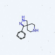 c1ccc(C2=NNCC23CCNCC3)cc1